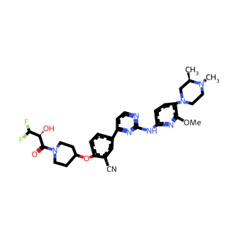 COc1nc(Nc2nccc(-c3ccc(OC4CCN(C(=O)[C@@H](O)C(F)F)CC4)c(C#N)c3)n2)ccc1N1CCN(C)[C@H](C)C1